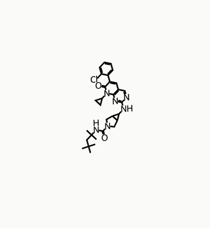 CC(C)(C)CC(C)(C)NC(=O)N1CC2C(C1)C2Nc1ncc2cc(-c3ccccc3Cl)c(=O)n(C3CC3)c2n1